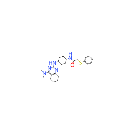 CN(C)c1nc(NC2CCC(NC(=O)CSc3ccccc3)CC2)nc2c1CCCC2